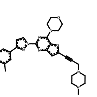 Cc1cccc(-c2ccn(-c3nc(N4CCOCC4)c4sc(C#CCN5CCN(C)CC5)cc4n3)n2)c1